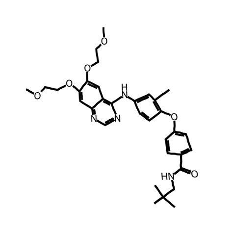 COCCOc1cc2ncnc(Nc3ccc(Oc4ccc(C(=O)NCC(C)(C)C)cc4)c(C)c3)c2cc1OCCOC